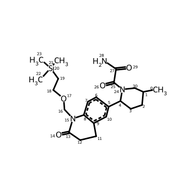 CC1CCC(c2ccc3c(c2)CCC(=O)N3COCC[Si](C)(C)C)N(C(=O)C(N)=O)C1